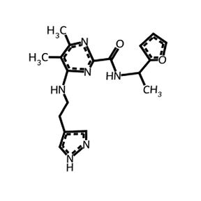 Cc1nc(C(=O)NC(C)c2ccco2)nc(NCCc2cn[nH]c2)c1C